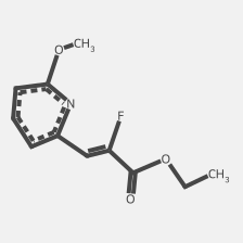 CCOC(=O)/C(F)=C/c1cccc(OC)n1